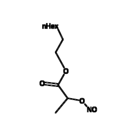 CCCCCCCCOC(=O)C(C)ON=O